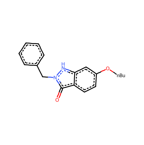 CCCCOc1ccc2c(=O)n(Cc3ccccc3)[nH]c2c1